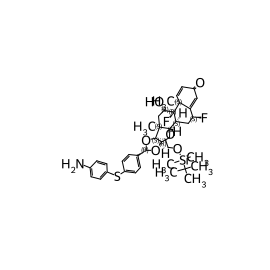 CC(C)(C)[Si](C)(C)OCC(=O)[C@@]12O[C@H](c3ccc(Sc4ccc(N)cc4)cc3)O[C@@H]1C[C@H]1[C@@H]3C[C@H](F)C4=CC(=O)C=C[C@]4(C)[C@@]3(F)[C@@H](O)C[C@@]12C